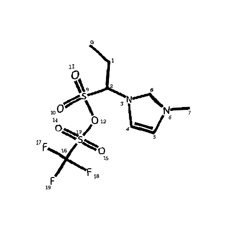 CCC(N1C=CN(C)C1)S(=O)(=O)OS(=O)(=O)C(F)(F)F